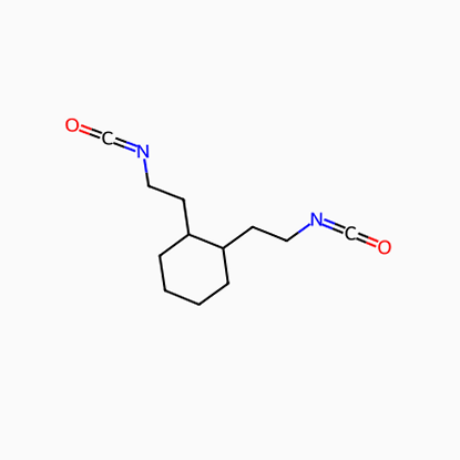 O=C=NCCC1CCCCC1CCN=C=O